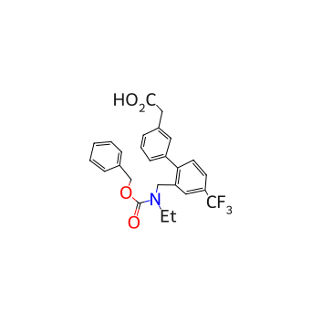 CCN(Cc1cc(C(F)(F)F)ccc1-c1cccc(CC(=O)O)c1)C(=O)OCc1ccccc1